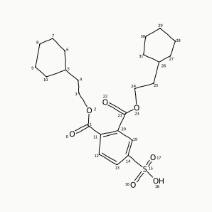 O=C(OCCC1CCCCC1)c1ccc(S(=O)(=O)O)cc1C(=O)OCCC1CCCCC1